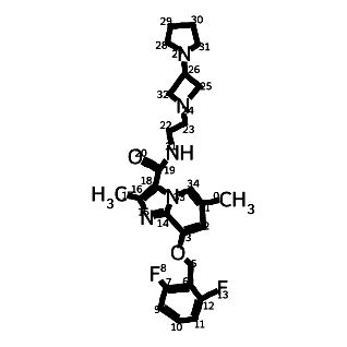 Cc1cc(OCc2c(F)cccc2F)c2nc(C)c(C(=O)NCCN3CC(N4CCCC4)C3)n2c1